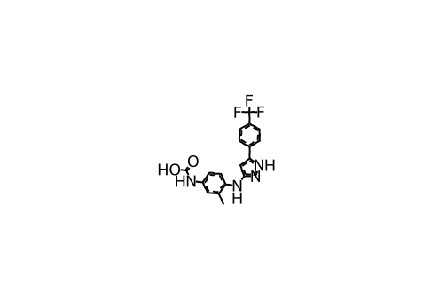 Cc1cc(NC(=O)O)ccc1Nc1cc(-c2ccc(C(F)(F)F)cc2)[nH]n1